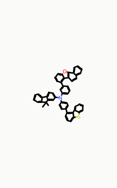 CC1(C)c2ccccc2-c2ccc(N(c3ccc(-c4cccc5sc6ccccc6c45)cc3)c3cccc(-c4cccc5oc6c7ccccc7ccc6c45)c3)cc21